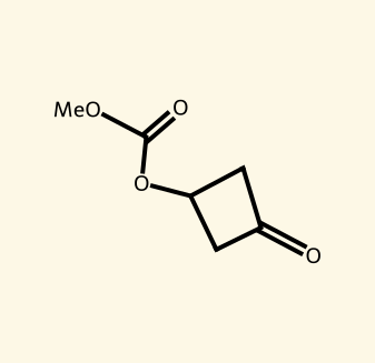 COC(=O)OC1CC(=O)C1